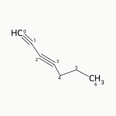 C#CC#CCCC